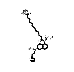 CCCNC(=O)CCCCCCCCCCC(=O)N(CC(=O)O)c1cccc2c1CC[C@H](N(CCC)CCc1cccs1)C2